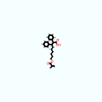 C=C(C)C(=O)OCCCCCCC(=C(C(=O)O)c1ccccc1)c1ccccc1